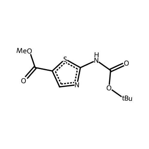 COC(=O)c1cnc(NC(=O)OC(C)(C)C)s1